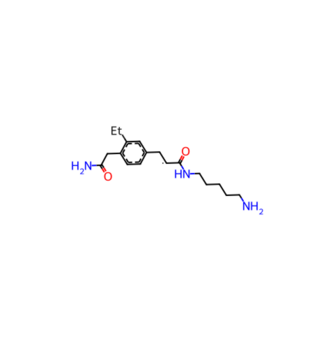 CCc1cc(C[CH]C(=O)NCCCCCN)ccc1CC(N)=O